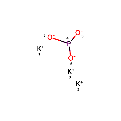 [K+].[K+].[K+].[O-]P([O-])[O-]